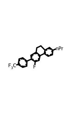 CCCc1ccc2c(c1)CCc1cc(-c3ccc(C(F)(F)F)cc3)c(F)cc1-2